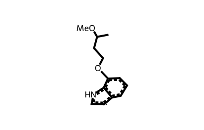 COC(C)CCOc1cccc2[c]c[nH]c12